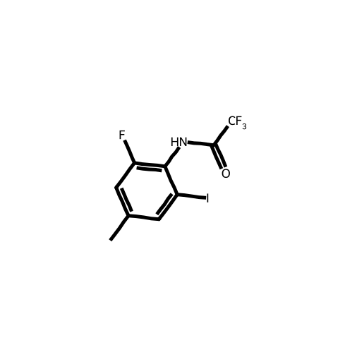 Cc1cc(F)c(NC(=O)C(F)(F)F)c(I)c1